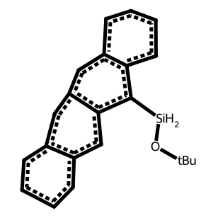 CC(C)(C)O[SiH2]c1c2ccccc2cc2cc3ccccc3cc12